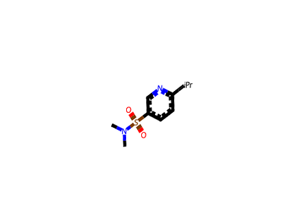 CC(C)c1ccc(S(=O)(=O)N(C)C)cn1